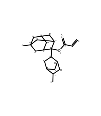 C=CC(=O)OC1(C2CC3CC2CC3C)C2CC3CC1CC(C)(C3)C2